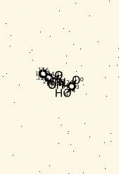 COc1ccc(O)c(C=NNC(=O)c2cc3ccccc3cc2O)c1